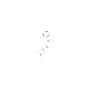 O=C1C[C@@H](C(=O)OC(=O)c2ccccc2)CO1